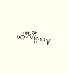 COc1ccc(C[C@H]2NC[C@H](O)[C@H]2OC(=O)NCCN2CCC3(C2)CC(F)(F)C3)cc1